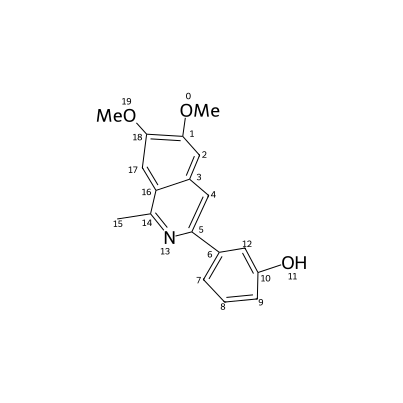 COc1cc2cc(-c3cccc(O)c3)nc(C)c2cc1OC